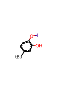 CC(C)(C)c1ccc(OI)c(O)c1